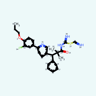 CCCOc1ccc(-c2ccc(C(c3ccccc3)C(C)(C)C(=O)NC(=N)SC=N)cn2)cc1F